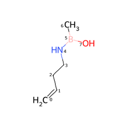 C=CCCNB(C)O